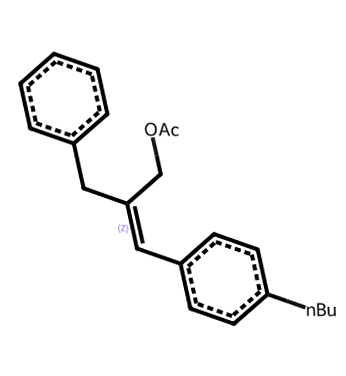 CCCCc1ccc(/C=C(\COC(C)=O)Cc2ccccc2)cc1